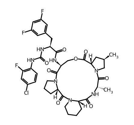 C[C@@H]1C[C@H]2C(=O)OC[C@H](NC(=O)[C@H](Cc3cc(F)cc(F)c3)NC(=O)Nc3ccc(Cl)cc3F)C(=O)N3CCC[C@H]3C(=O)N3CCCC[C@H]3C(=O)N[C@@H](C)C(=O)N2C1